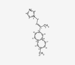 CC(=CCn1ccnc1)c1ccc2cc(C)ccc2c1